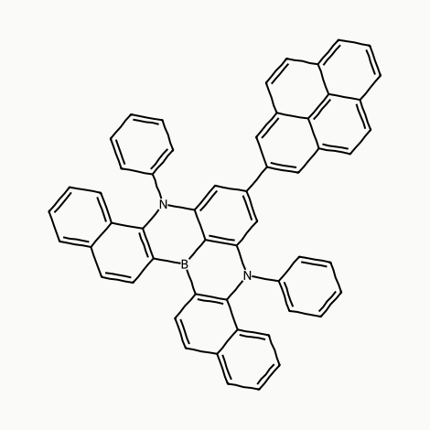 c1ccc(N2c3cc(-c4cc5ccc6cccc7ccc(c4)c5c67)cc4c3B(c3ccc5ccccc5c32)c2ccc3ccccc3c2N4c2ccccc2)cc1